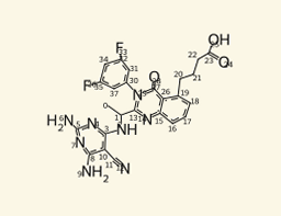 CC(Nc1nc(N)nc(N)c1C#N)c1nc2cccc(CCCC(=O)O)c2c(=O)n1-c1cc(F)cc(F)c1